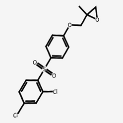 CC1(COc2ccc(S(=O)(=O)c3ccc(Cl)cc3Cl)cc2)CO1